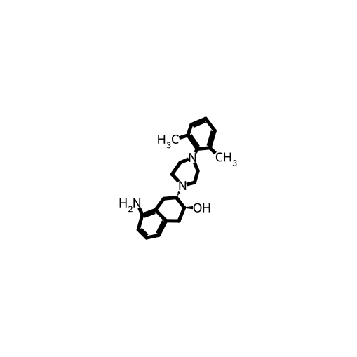 Cc1cccc(C)c1N1CCN([C@H]2Cc3c(N)cccc3C[C@@H]2O)CC1